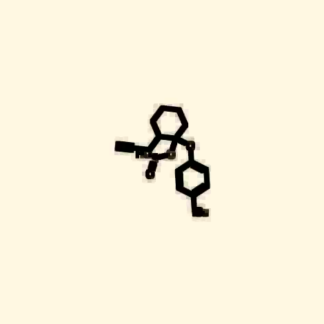 C#CCC1CCCCC1(Oc1ccc(C(C)(C)C)cc1)OS(=O)O